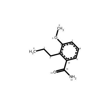 CCCc1c(OC)cccc1C(N)=O